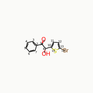 O=C(c1ccccc1)C(O)c1ccc(Br)s1